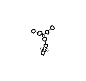 c1ccc(-c2ccc(N(c3ccc(-c4ccccc4)cc3)c3ccc(-c4ccc5c(c4)Oc4ccccc4O5)cc3)cc2)cc1